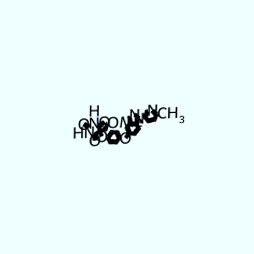 COCCC1(Oc2ccc(Oc3ccc4c(cnn4-c4ccc(C)nc4)c3)cc2)C(=O)NC(=O)NC1=O